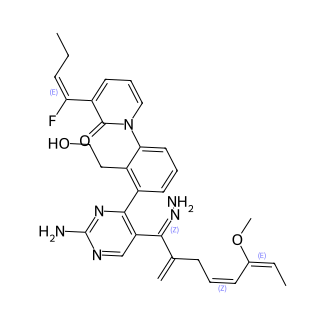 C=C(C/C=C\C(=C/C)OC)/C(=N/N)c1cnc(N)nc1-c1cccc(-n2cccc(/C(F)=C\CC)c2=O)c1CCO